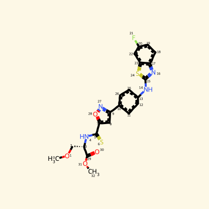 COC[C@H](NC(=S)c1cc(-c2ccc(Nc3nc4ccc(F)cc4s3)cc2)no1)C(=O)OC